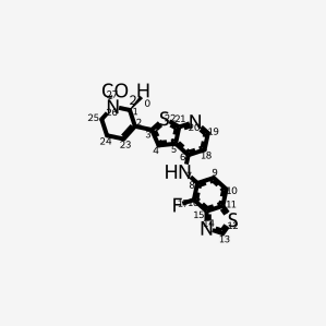 C[C@H]1C(c2cc3c(Nc4ccc5scnc5c4F)ccnc3s2)=CCCN1C(=O)O